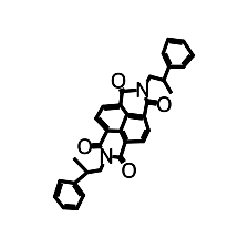 CC(CN1C(=O)c2ccc3c4c(ccc(c24)C1=O)C(=O)N(CC(C)c1ccccc1)C3=O)c1ccccc1